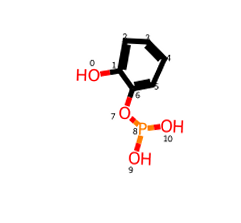 Oc1ccccc1OP(O)O